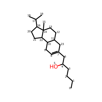 CCCCC(O)CC1=CCC2C(CCC3(C)C(C(C)C)CCC23)C1